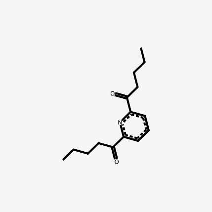 CCCCC(=O)c1cccc(C(=O)CCCC)n1